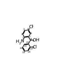 Nc1ccc(Cl)cc1C(O)c1ccccc1Cl